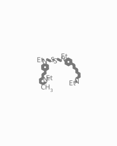 CC/N=C/C=C\C=C\C=C\c1ccc(N(CC)CCSSCCN(CC)c2ccc(/C=C/C3=CCC(C)C=[N+]3CC)cc2)cc1